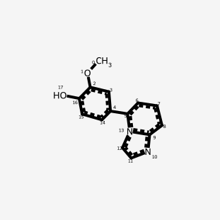 COc1cc(-c2cccc3nccn23)ccc1O